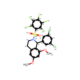 COc1cc2c(c(OC)c1)C(c1cc(Cl)cc(Cl)c1)N(S(=O)(=O)c1c(F)c(F)c(F)c(F)c1F)CC2